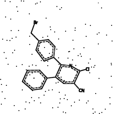 N#Cc1cc(-c2ccccc2)c(-c2ccc(CBr)cc2)nc1Cl